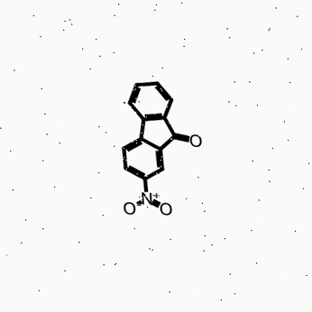 O=C1c2ccc[c]c2-c2ccc([N+](=O)[O-])cc21